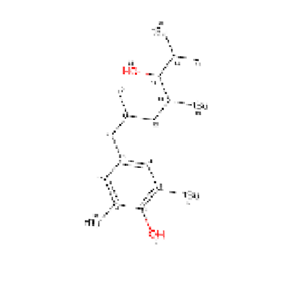 CC(Cc1cc(C(C)(C)C)c(O)c(C(C)(C)C)c1)CC(C(O)C(C)C(C)(C)C)C(C)(C)C